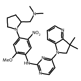 COc1cc(N2CCCC2CN(C)C)c([N+](=O)[O-])cc1Nc1nccc(N2CC(C)(C)c3ncccc32)n1